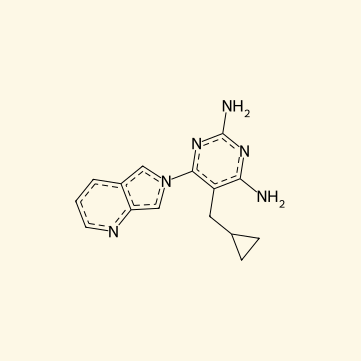 Nc1nc(N)c(CC2CC2)c(-n2cc3cccnc3c2)n1